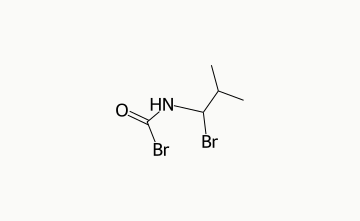 CC(C)C(Br)NC(=O)Br